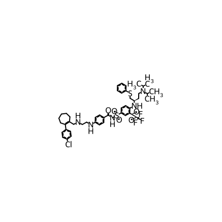 CC(C)N(CC[C@H](CSc1ccccc1)Nc1ccc(S(=O)(=O)NC(=O)c2ccc(NCCNCC3=C(c4ccc(Cl)cc4)CCCCC3)cc2)cc1S(=O)(=O)C(F)(F)F)C(C)C